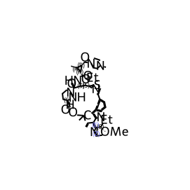 C=C/C(=C(\N=C/C)[C@H](C)OC)c1c2c3cc(ccc3n1CC)-c1csc(n1)[C@@H](OCC)[C@H](NC(=O)[C@@H]1[C@@H](C)[C@H]1C(=O)N1CCN(C)CC1)C(=O)N1CCC[C@H](N1)C(=O)OCC(C)(C)C2